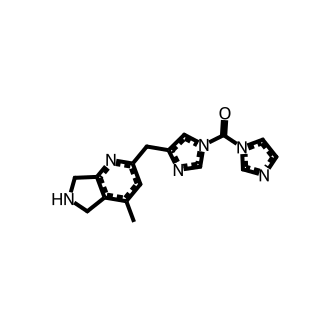 Cc1cc(Cc2cn(C(=O)n3ccnc3)cn2)nc2c1CNC2